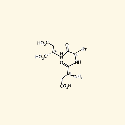 CC(C)[C@H](NC(=O)[C@@H](N)CC(=O)O)C(=O)N[C@@H](CC(=O)O)C(=O)O